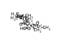 C=CCOC(=O)N1CC(C2=C(C(=O)O)N3C(=O)[C@@H]([C@@H](CO[SiH](C)C)C(C)(C)C)[C@H]3C2)C[C@H]1C